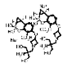 NC(CO)(CO)CN1CC(Oc2ccc3c(c2C(=O)O)O[B-](O)(O)[C@H]2C[C@@H]32)C1.NC(CO)(CO)CN1CC(Oc2ccc3c(c2C(=O)O)O[B-](O)(O)[C@H]2C[C@@H]32)C1.[Na+].[Na+]